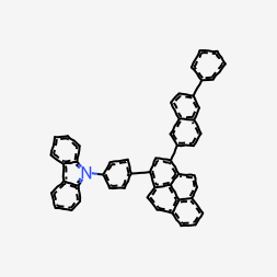 c1ccc(-c2ccc3cc(-c4cc(-c5ccc(-n6c7ccccc7c7ccccc76)cc5)c5ccc6cccc7ccc4c5c67)ccc3c2)cc1